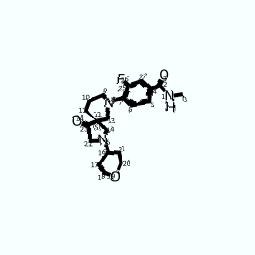 CNC(=O)c1ccc(N2CCC[C@@]3(C2)CN(C2CCOCC2)CC3=O)c(F)c1